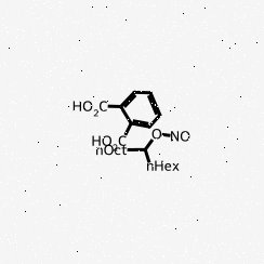 CCCCCCCCC(CCCCCC)ON=O.O=C(O)c1ccccc1C(=O)O